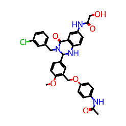 COc1ccc(C2Nc3ccc(NC(=O)CO)cc3C(=O)N2Cc2cccc(Cl)c2)cc1COc1ccc(NC(C)=O)cc1